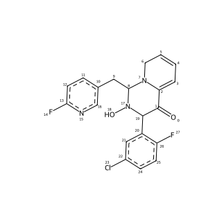 O=C1C2=CC=CCN2C(Cc2ccc(F)nc2)N(O)C1c1cc(Cl)ccc1F